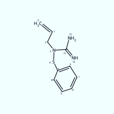 C=CCN(Sc1ccccc1)C(=N)N